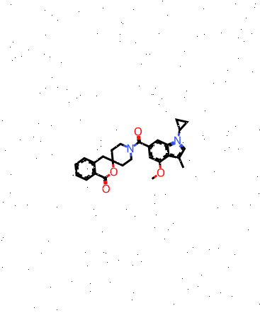 COc1cc(C(=O)N2CCC3(CC2)Cc2cc[c]cc2C(=O)O3)cc2c1c(C)cn2C1CC1